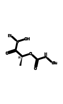 CCN(O)C(=O)[C@@H](C)OC(=O)NC(C)(C)C